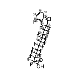 O=S(O)C(F)(F)C(F)(F)C(F)(F)C(F)(F)C(F)(F)C(F)(F)C(F)(F)C(F)(F)C(F)(F)C(F)(F)Sc1c(F)cccc1Cl